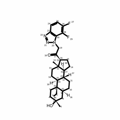 CC[C@]12CC[C@@](C)(O)C[C@@H]1CC[C@H]1[C@@H]3CC[C@H](C(=O)Cn4nnc5ccc(F)c(F)c54)[C@@]3(C)CC[C@@H]12